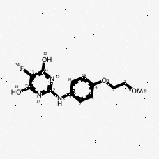 COCCOc1ccc(Nc2nc(O)c(F)c(O)n2)cc1